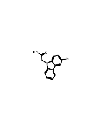 O=C(O)Cn1c2ccccc2c2cc(Br)ccc21